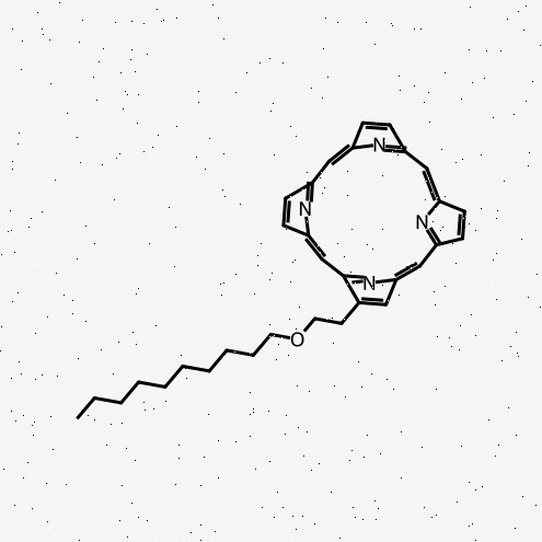 CCCCCCCCCCOCCC1=CC2=CC3=NC(=CC4=NC(=CC5=NC(=CC1=N2)C=C5)C=C4)C=C3